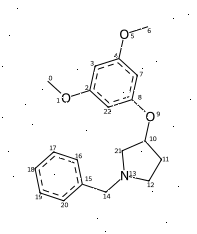 COc1cc(OC)cc(OC2CCN(Cc3ccccc3)C2)c1